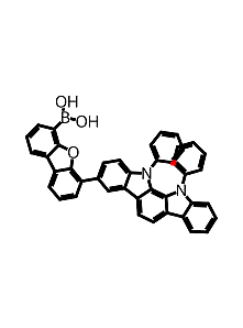 OB(O)c1cccc2c1oc1c(-c3ccc4c(c3)c3ccc5c6ccccc6n(-c6ccccc6)c5c3n4-c3ccccc3)cccc12